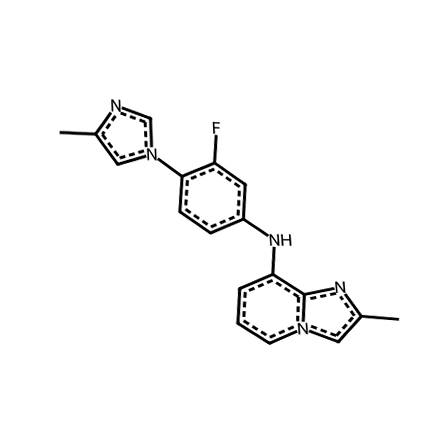 Cc1cn(-c2ccc(Nc3cccn4cc(C)nc34)cc2F)cn1